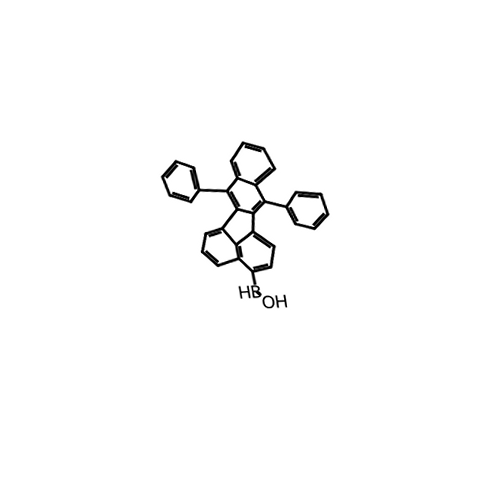 OBc1ccc2c3c(cccc13)-c1c-2c(-c2ccccc2)c2ccccc2c1-c1ccccc1